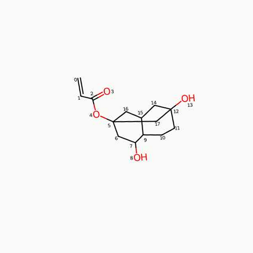 C=CC(=O)OC12CC(O)C3CCC(O)(CC3C1)C2